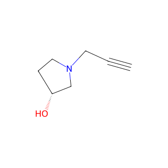 C#CCN1CC[C@@H](O)C1